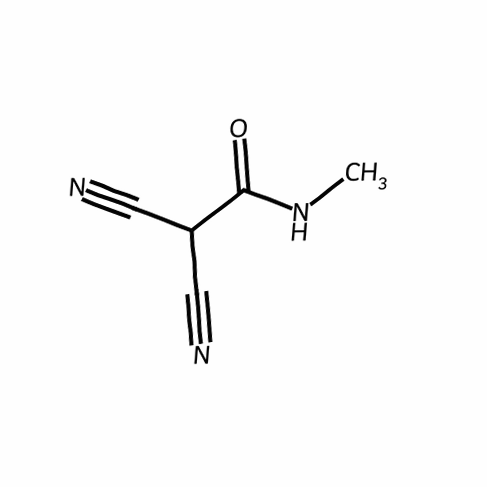 CNC(=O)C(C#N)C#N